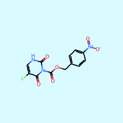 O=C(OCc1ccc([N+](=O)[O-])cc1)n1c(=O)[nH]cc(F)c1=O